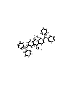 Cc1c2ccc(N(c3ccncc3)c3ccccn3)cc2c(C)c2ccc(N(c3ccncc3)c3ccccn3)cc12